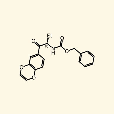 CC[C@@H](NC(=O)OCc1ccccc1)C(=O)c1ccc2c(c1)OC=CO2